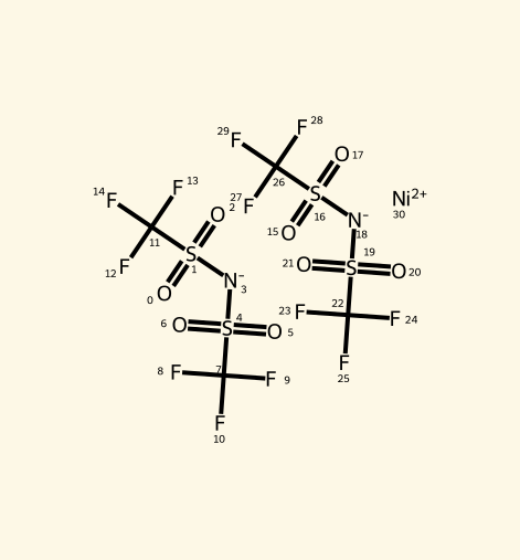 O=S(=O)([N-]S(=O)(=O)C(F)(F)F)C(F)(F)F.O=S(=O)([N-]S(=O)(=O)C(F)(F)F)C(F)(F)F.[Ni+2]